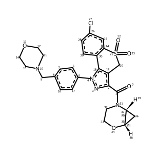 O=C(c1nn(-c2ccc(CN3CCOCC3)cc2)c2c1CS(=O)(=O)c1cc(Cl)ccc1-2)N1CCO[C@H]2C[C@H]21